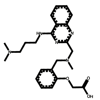 CN(C)CCCNc1nc(CN(C)Cc2ccccc2OCC(=O)O)nc2ccccc12